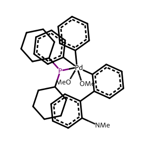 CNc1ccccc1-c1cccc[c]1[Pd]([O]C)([O]C)([c]1ccccc1)([c]1ccccc1)[P](C1CCCCC1)C1CCCCC1